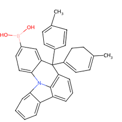 CC1=CC=C(C2(c3ccc(C)cc3)c3cc(B(O)O)ccc3-n3c4ccccc4c4cccc2c43)CC1